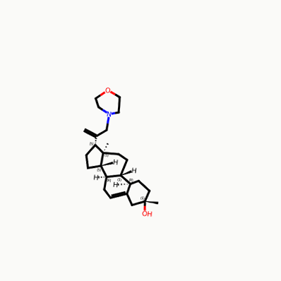 C=C(CN1CCOCC1)[C@H]1CC[C@H]2[C@@H]3CC=C4C[C@@](C)(O)CC[C@@H]4[C@H]3CC[C@]12C